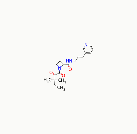 CCC(C)(C)C(=O)C(=O)N1CC[C@H]1C(=O)NCCCc1cccnc1